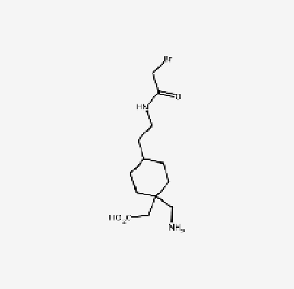 NCC1(CC(=O)O)CCC(CCNC(=O)CBr)CC1